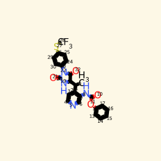 CC(c1ccncc1NC(=O)Oc1ccccc1)C1NC(=O)N(c2ccc(SC(F)(F)F)cc2)C1=O